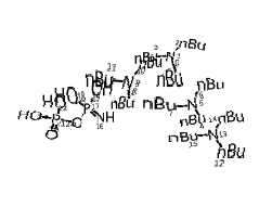 CCCCN(CCCC)CCCC.CCCCN(CCCC)CCCC.CCCCN(CCCC)CCCC.CCCCN(CCCC)CCCC.N=P(O)(O)OP(=O)(O)O